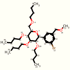 CCCCOC[C@H]1O[C@@H](c2cc(Br)cc(COC)c2)[C@H](OCCCC)[C@@H](OCCCC)[C@@H]1OCCCC